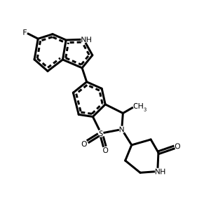 CC1c2cc(-c3c[nH]c4cc(F)ccc34)ccc2S(=O)(=O)N1C1CCNC(=O)C1